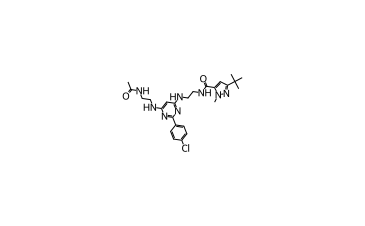 CC(=O)NCCNc1cc(NCCNC(=O)c2cc(C(C)(C)C)nn2C)nc(-c2ccc(Cl)cc2)n1